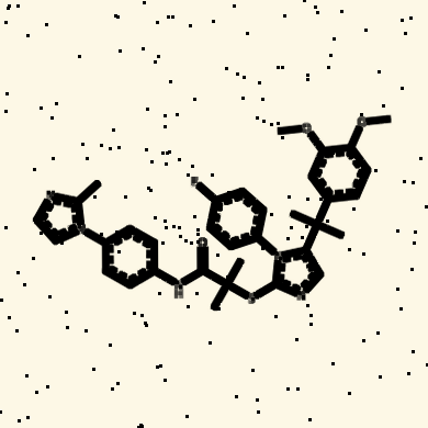 COc1ccc(C(C)(C)c2cnc(SC(C)(C)C(=O)Nc3ccc(-n4ccnc4C)cc3)n2-c2ccc(F)cc2)cc1OC